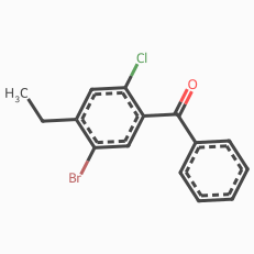 CCc1cc(Cl)c(C(=O)c2ccccc2)cc1Br